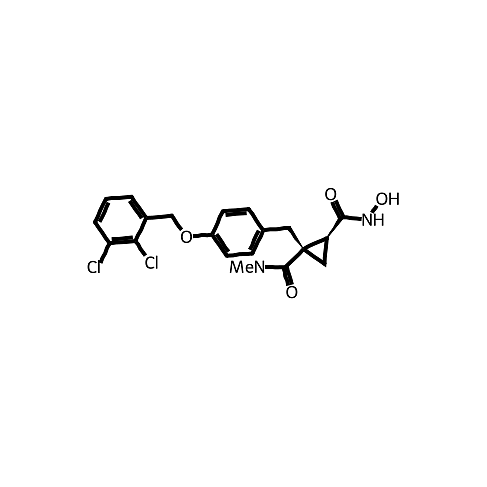 CNC(=O)[C@@]1(Cc2ccc(OCc3cccc(Cl)c3Cl)cc2)C[C@@H]1C(=O)NO